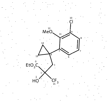 CCOC(=O)C(O)(CC1(c2cccc(Cl)c2OC)CC1)C(F)(F)F